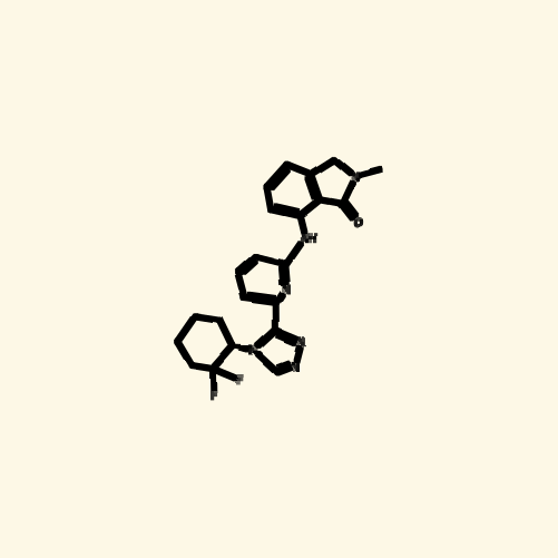 CN1Cc2cccc(Nc3cccc(-c4nncn4[C@@H]4CCCCC4(F)F)n3)c2C1=O